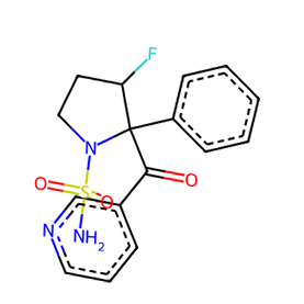 NS(=O)(=O)N1CCC(F)C1(C(=O)c1cccnc1)c1ccccc1